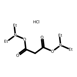 CCN(CC)OC(=O)CC(=O)ON(CC)CC.Cl